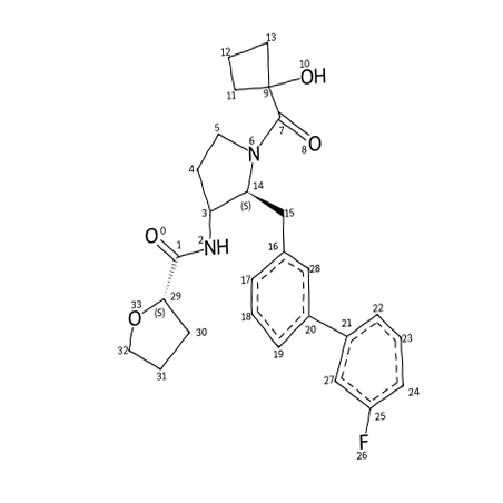 O=C(NC1CCN(C(=O)C2(O)CCC2)[C@H]1Cc1cccc(-c2cccc(F)c2)c1)[C@@H]1CCCO1